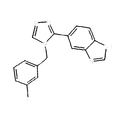 Clc1cccc(Cn2cnnc2-c2ccc3[nH]cnc3c2)c1